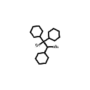 CCCCC(C1CCCCC1)[C]([Sn])(C1CCCCC1)C1CCCCC1